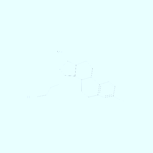 CO[C@H]1C[C@@H](CCCC(=O)O)C2C3CCc4cc(O)ccc4C3CC[C@@]21C